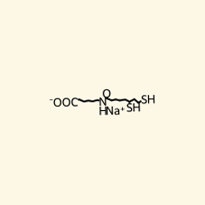 O=C([O-])CCCCCNC(=O)CCCCC(S)CCS.[Na+]